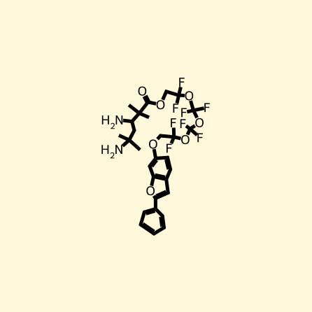 CC(C)(N)CC(N)C(C)(C)C(=O)OCC(F)(F)OC(F)(F)OC(F)(F)OC(F)(F)COc1ccc2cc(-c3ccccc3)oc2c1